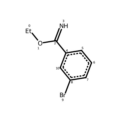 CCOC(=N)c1cccc(Br)c1